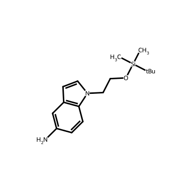 CC(C)(C)[Si](C)(C)OCCn1ccc2cc(N)ccc21